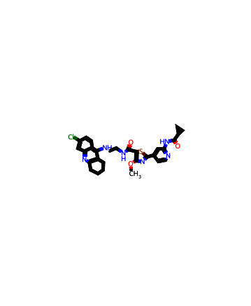 COc1nc(-c2ccnc(NC(=O)C3CC3)c2)sc1C(=O)NCCNc1c2c(nc3cc(Cl)ccc13)CCCC2